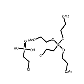 COCCO[Si](CCCl)(OCCOC)OCCOC.O=P(O)(O)CCCl